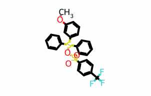 COc1cccc(S(OS(=O)(=O)c2ccc(C(F)(F)F)cc2)(c2ccccc2)c2ccccc2)c1